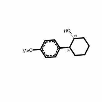 COc1ccc([C@@H]2CCCC[C@H]2O)cc1